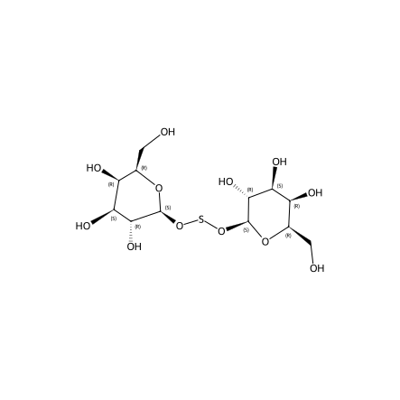 OC[C@H]1O[C@@H](OSO[C@@H]2O[C@H](CO)[C@H](O)[C@H](O)[C@H]2O)[C@H](O)[C@@H](O)[C@H]1O